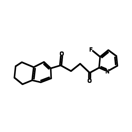 O=C(CCC(=O)c1ncccc1F)c1ccc2c(c1)CCCC2